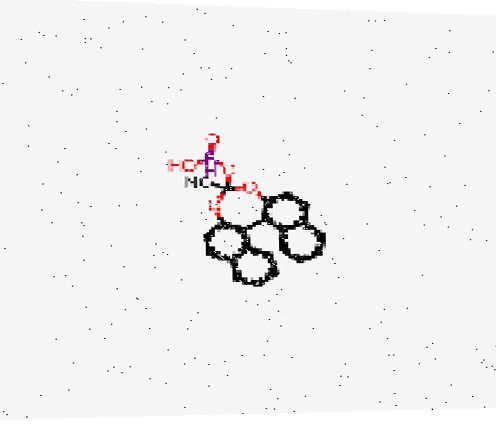 N#CC1(O[PH](=O)O)Oc2ccc3ccccc3c2-c2c(ccc3ccccc23)O1